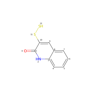 O=c1[nH]c2ccccc2cc1SS